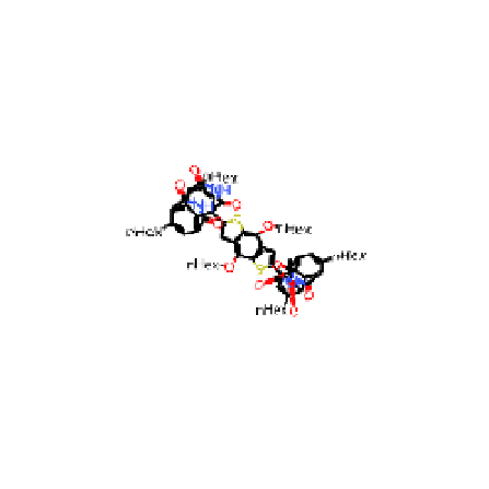 CCCCCCOc1c2cc(C34C=C(CCCCCC)C(C(=O)NC3=O)c3c4c4cc(CCCCCC)c3c(=O)[nH]c4=O)sc2c(OCCCCCC)c2cc(C34C=C(CCCCCC)C(C(=O)NC3=O)c3c4c4cc(CCCCCC)c3c(=O)[nH]c4=O)sc12